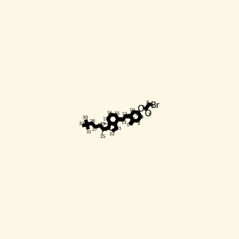 C=C1CC[C@H](OC(=O)CBr)C/C1=C/C=C1\CCC[C@@]2(C)C1CC[C@@H]2[C@H](C)CCCC(C)(C)C